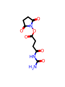 NC(=O)NC(=O)CCC(=O)ON1C(=O)CCC1=O